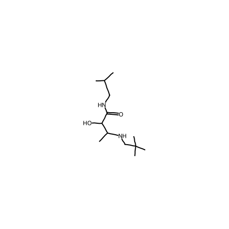 CC(C)CNC(=O)C(O)C(C)NCC(C)(C)C